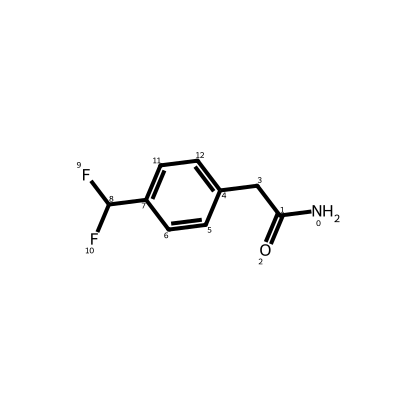 NC(=O)Cc1ccc(C(F)F)cc1